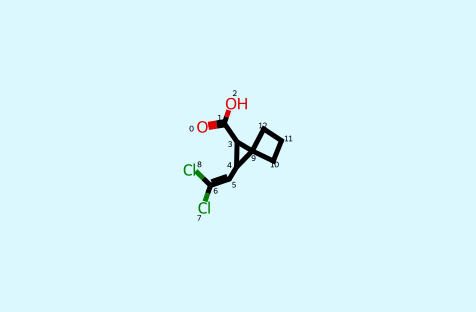 O=C(O)C1C(C=C(Cl)Cl)C12CCC2